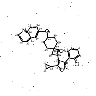 Clc1cccc(Cl)c1-c1noc(C2CC2)c1C1=CC2(CCC(Oc3ccc4ncccc4c3)CC2)C1